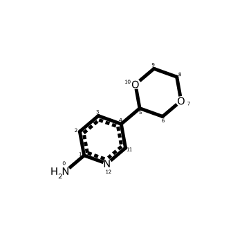 Nc1ccc(C2COCCO2)cn1